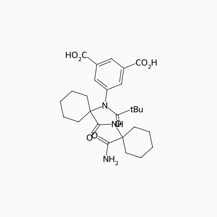 CC(C)(C)C(=O)N(c1cc(C(=O)O)cc(C(=O)O)c1)C1(C(=O)NC2(C(N)=O)CCCCC2)CCCCC1